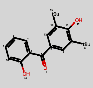 CC(C)(C)c1cc(C(=O)c2ccccc2O)cc(C(C)(C)C)c1O